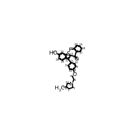 C[C@@H]1CCN(CCOc2ccc(-c3c(C(=O)c4ccccc4F)sc4cc(O)ccc34)cc2)C1